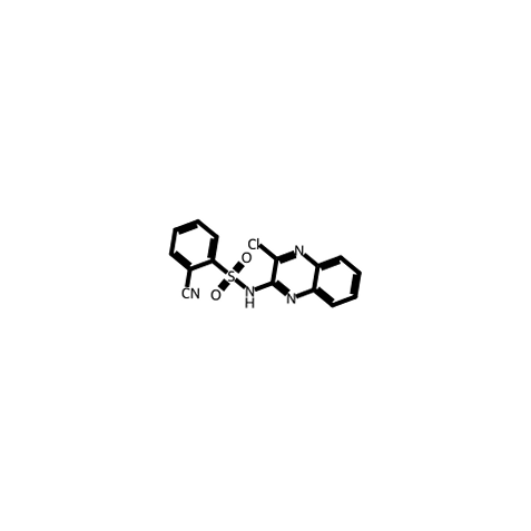 N#Cc1ccccc1S(=O)(=O)Nc1nc2ccccc2nc1Cl